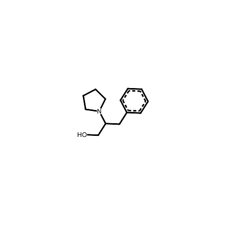 OCC(Cc1ccccc1)N1CCCC1